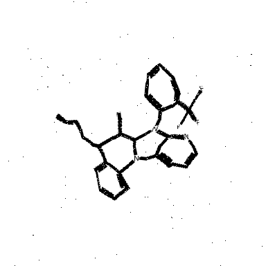 C=CCC1c2ccccc2N2c3cccnc3N(c3ccccc3C(F)(F)F)C2C1C